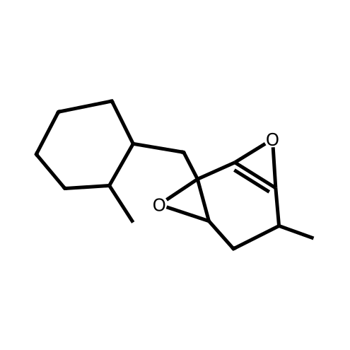 CC1CC2OC2(CC2CCCCC2C)C2=C1O2